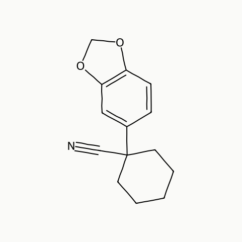 N#CC1(c2ccc3c(c2)OCO3)CCCCC1